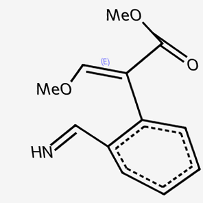 CO/C=C(/C(=O)OC)c1ccccc1C=N